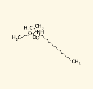 CCCCCCCCCCCCCCCC(=O)NC(C(=O)OCCCC)C(C)C